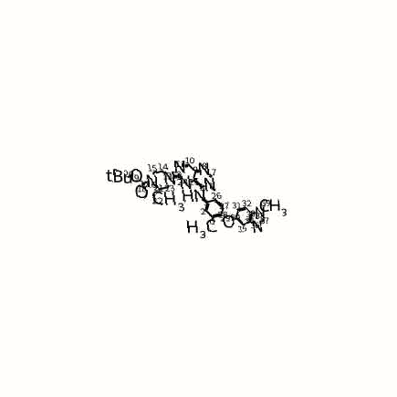 Cc1cc(Nc2ncnc3cnc(N4CCN(C(=O)OC(C)(C)C)[C@H](C)C4)nc23)ccc1Oc1ccc2c(c1)ncn2C